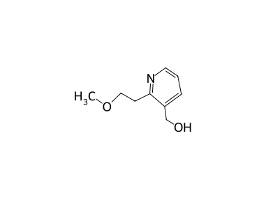 COCCc1ncccc1CO